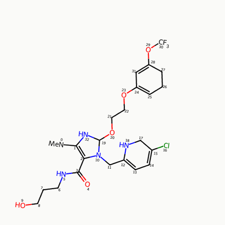 CNC1=C(C(=O)NCCCO)N(CC2=CC=C(Cl)CN2)C(OCCOC2=CCCC(OC(F)(F)F)=C2)N1